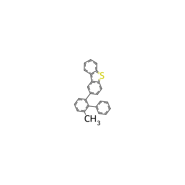 Cc1cccc(-c2ccc3sc4ccccc4c3c2)c1-c1ccccc1